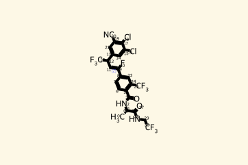 C[C@@H](NC(=O)c1ccc(/C(F)=C/C(c2cc(Cl)c(Cl)c(C#N)c2)C(F)(F)F)cc1C(F)(F)F)C(=O)NCC(F)(F)F